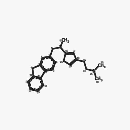 CC(Cc1ccc2c(c1)Cc1ccccc1-2)C1=CC(CCN(C)C)=CC1